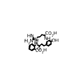 N=C(N)NCCC[C@H](N)C(=O)O.O=C(CCc1ccc(O)cc1)Nc1ccccc1C(=O)O